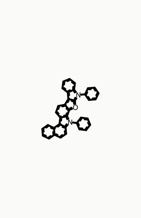 c1ccc(-n2c3ccccc3c3c4ccc5c6c7ccccc7ccc6n(-c6ccccc6)c5c4oc32)cc1